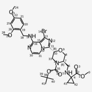 COC(=O)C1(NC[C@@H]2CO[C@@H](c3nc(Br)c4c(NCc5ccc(OC)cc5OC)nccn34)CN2C(=O)OC(C)(C)C)CC1